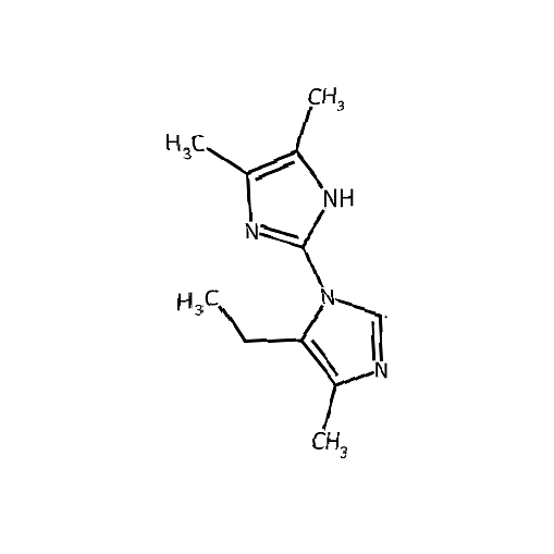 CCc1c(C)n[c]n1-c1nc(C)c(C)[nH]1